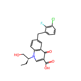 CC[C@@H](CO)n1cc(C(=O)O)c(=O)c2cc(Cc3cccc(Cl)c3F)ccc21